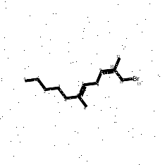 CCCCCC(C)=CCC=C(C)CBr